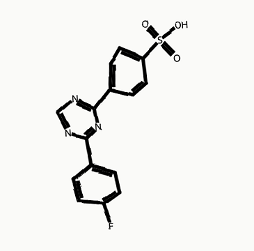 O=S(=O)(O)c1ccc(-c2ncnc(-c3ccc(F)cc3)n2)cc1